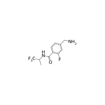 CC(NC(=O)c1ccc(CN)cc1F)C(F)(F)F